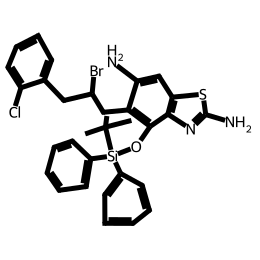 CC(C)(C)[Si](Oc1c(CC(Br)Cc2ccccc2Cl)c(N)cc2sc(N)nc12)(c1ccccc1)c1ccccc1